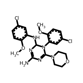 COc1ccc(Cl)cc1NC1N=C(N)N=C(N2CCOCC2)N1c1cc(Cl)ccc1OC